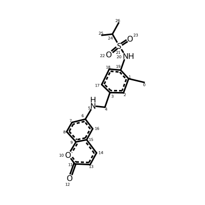 Cc1cc(CNc2ccc3oc(=O)ccc3c2)ccc1NS(=O)(=O)C(C)C